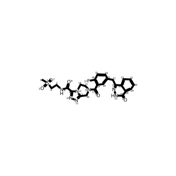 CS(=O)(=O)CCNC(=O)c1nnc2n1CCN(C(=O)c1cc(Cc3n[nH]c(=O)c4ccccc34)ccc1F)C2